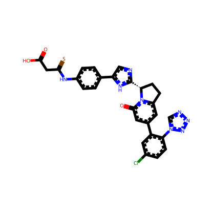 O=C(O)CC(=S)Nc1ccc(-c2cnc([C@@H]3CCc4cc(-c5cc(Cl)ccc5-n5cnnn5)cc(=O)n43)[nH]2)cc1